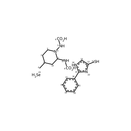 CC1CCN(NC(=O)O)C(NC(=O)O)C1.Sc1c[nH]c(-c2ccccc2)n1.[SeH2]